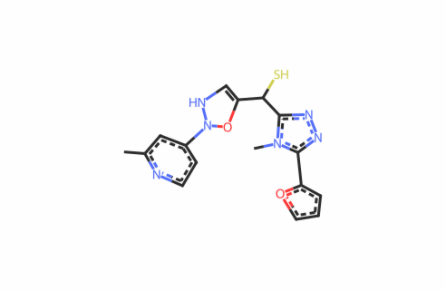 Cc1cc(N2NC=C(C(S)c3nnc(-c4ccco4)n3C)O2)ccn1